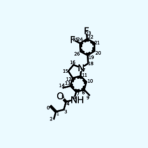 C=C(C)CC(=O)Nc1c(C)cc2c(c1C)CCN2Cc1ccc(F)c(F)c1